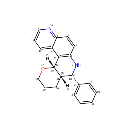 c1ccc([C@H]2Nc3ccc4ncccc4c3[C@H]3OCCC[C@@H]23)cc1